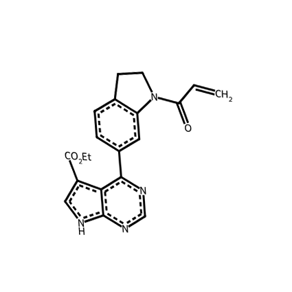 C=CC(=O)N1CCc2ccc(-c3ncnc4[nH]cc(C(=O)OCC)c34)cc21